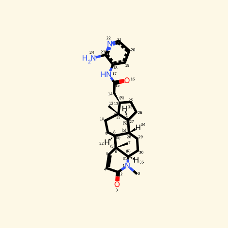 CN1C(=O)C=C[C@]2(C)[C@H]3CC[C@]4(C)[C@@H](CC(=O)Nc5cccnc5N)CC[C@H]4[C@@H]3CC[C@@H]12